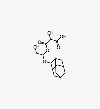 CCC(OC(=O)C(C)C(=O)O)OC1C2CC3CC(C2)CC1C3